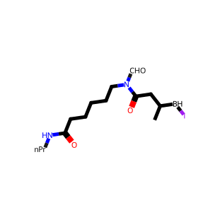 CCCNC(=O)CCCCCN(C=O)C(=O)CC(C)BI